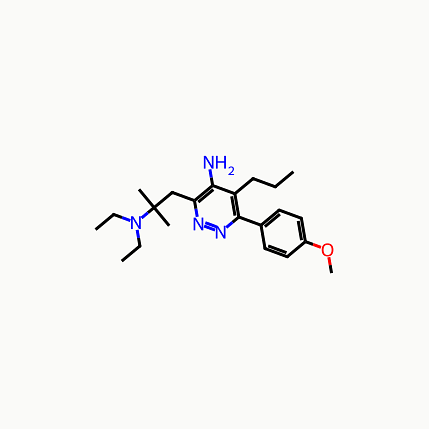 CCCc1c(-c2ccc(OC)cc2)nnc(CC(C)(C)N(CC)CC)c1N